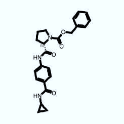 O=C(NC1CC1)c1ccc(NC(=O)[C@@H]2CCCN2C(=O)OCc2ccccc2)cc1